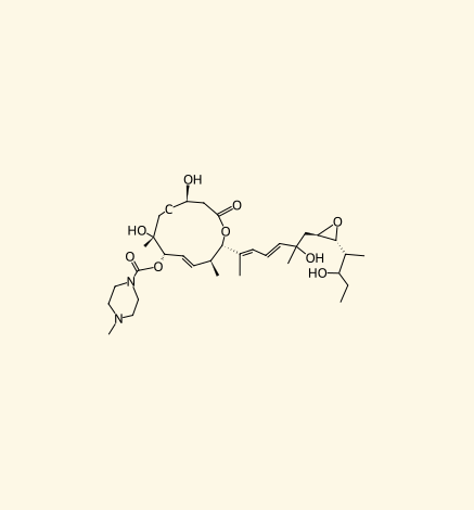 CCC(O)C(C)[C@H]1O[C@@H]1CC(C)(O)/C=C/C=C(\C)[C@H]1OC(=O)C[C@H](O)CC[C@@](C)(O)[C@@H](OC(=O)N2CCN(C)CC2)/C=C/[C@@H]1C